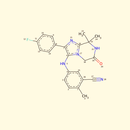 Cc1ccc(Nc2c(-c3ccc(F)cc3)nc3n2CC(=O)NC3(C)C)cc1C#N